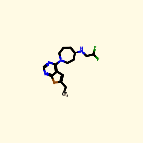 FC(F)CN[C@@H]1CCCN(c2ncnc3sc(CC(F)(F)F)cc23)CC1